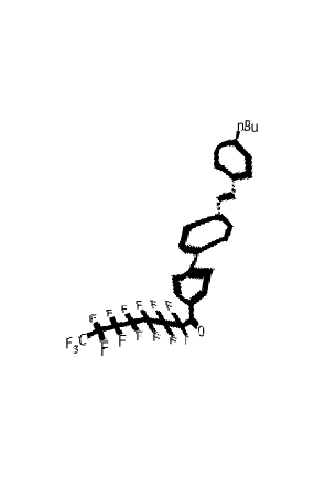 CCCC[C@H]1CC[C@H](CC[C@H]2CC[C@H](c3ccc(C(=O)C(F)(F)C(F)(F)C(F)(F)C(F)(F)C(F)(F)C(F)(F)C(F)(F)F)cc3)CC2)CC1